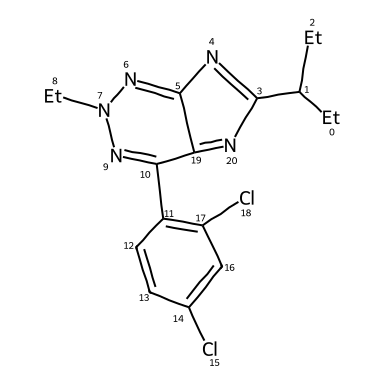 CCC(CC)c1nc2nn(CC)nc(-c3ccc(Cl)cc3Cl)c-2n1